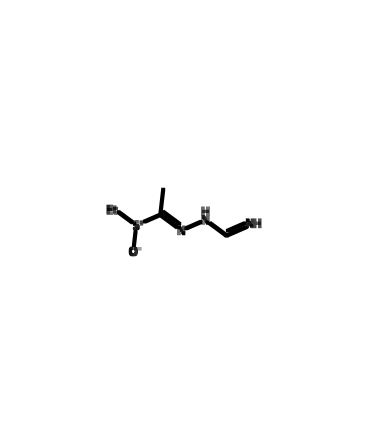 CC[S+]([O-])/C(C)=N/NC=N